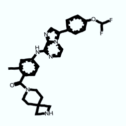 Cc1cc(Nc2nccn3c(-c4ccc(OC(F)F)cc4)cnc23)ccc1C(=O)N1CCC2(CC1)CNC2